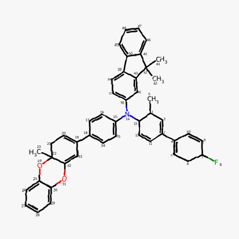 CC1C=C(C2=CCC(F)C=C2)C=CC1N(c1ccc(C2=CCC3(C)Oc4ccccc4OC3=C2)cc1)c1ccc2c(c1)C(C)(C)c1ccccc1-2